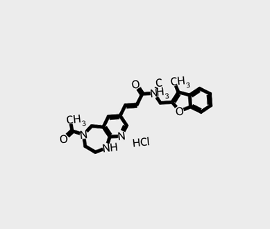 CC(=O)N1CCNc2ncc(C=CC(=O)N(C)Cc3oc4ccccc4c3C)cc2C1.Cl